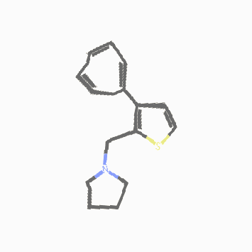 [c]1ccc(-c2ccsc2CN2CCCC2)cc1